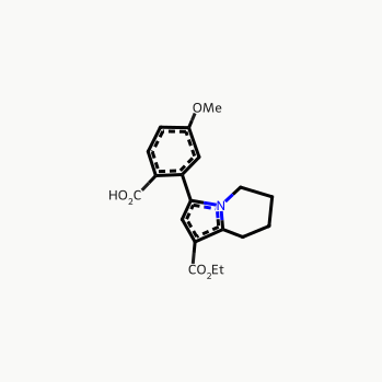 CCOC(=O)c1cc(-c2cc(OC)ccc2C(=O)O)n2c1CCCC2